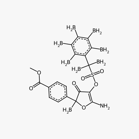 Bc1c(B)c(B)c(C(B)(B)S(=O)(=O)OC2=C(N)OC(B)(c3ccc(C(=O)OC)cc3)C2=O)c(B)c1B